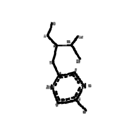 CCC(Cc1cnc(C)cn1)C(C)C